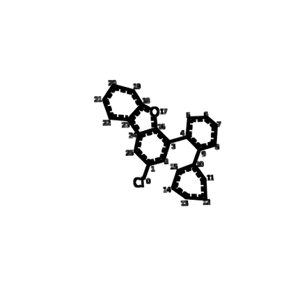 Clc1cc(-c2ccccc2-c2ccccc2)c2oc3ccccc3c2c1